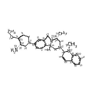 CO[C@H]1CCN(c2ccc3c(c2)CN2[C@H](C)CN(C4C=Cc5cccnc5N4C)C[C@H]32)C[C@@H]1N